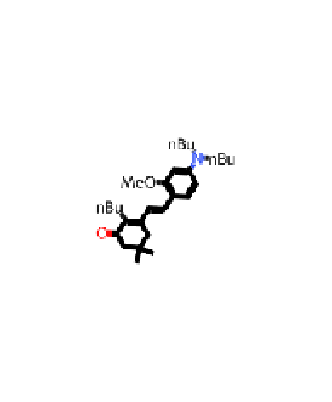 CCCCC1=C(C=Cc2ccc(N(CCCC)CCCC)cc2OC)CC(C)(C)CC1=O